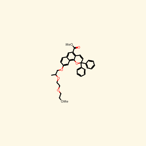 COCCOCCOC(C)COc1ccc2cc(C(=O)OC)c3c(c2c1)OC(c1ccccc1)(c1ccccc1)C=C3